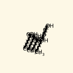 CCCCCCCC(=O)O.CCCCCCCC(=O)O.CCCCCCCCCC(=O)O.CCCCCCCCCC(=O)O.OCCOCCOCCO